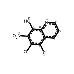 O=[N+]([O-])c1c(Cl)c(Cl)c2cccnc2c1O